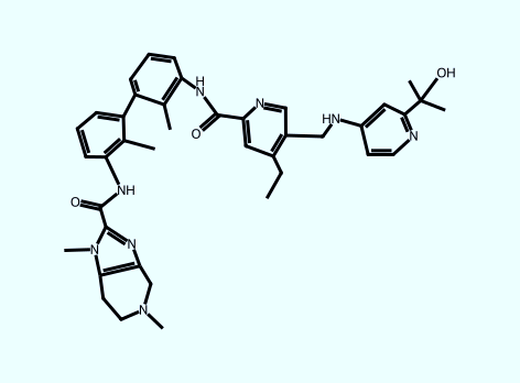 CCc1cc(C(=O)Nc2cccc(-c3cccc(NC(=O)c4nc5c(n4C)CCN(C)C5)c3C)c2C)ncc1CNc1ccnc(C(C)(C)O)c1